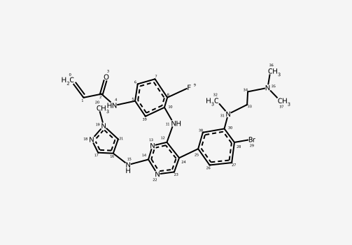 C=CC(=O)Nc1ccc(F)c(Nc2nc(Nc3cnn(C)c3)ncc2-c2ccc(Br)c(N(C)CCN(C)C)c2)c1